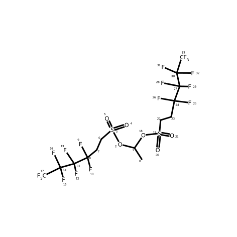 CC(OS(=O)(=O)CCC(F)(F)C(F)(F)C(F)(F)C(F)(F)F)OS(=O)(=O)CCC(F)(F)C(F)(F)C(F)(F)C(F)(F)F